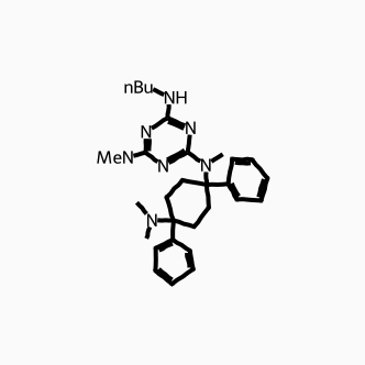 CCCCNc1nc(NC)nc(N(C)C2(c3ccccc3)CCC(c3ccccc3)(N(C)C)CC2)n1